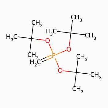 C=P(OC(C)(C)C)(OC(C)(C)C)OC(C)(C)C